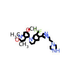 COc1cc(N2CCCc3cc(-c4cnn(CCCN5CCNCC5)c4)c(C(F)F)cc32)c2cc(C)c(=O)n(C)c2c1